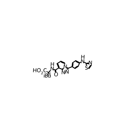 CC[C@H](C)[C@H](NC(=O)c1cccn2c(-c3ccc(Nc4nccs4)cc3)nnc12)C(=O)O